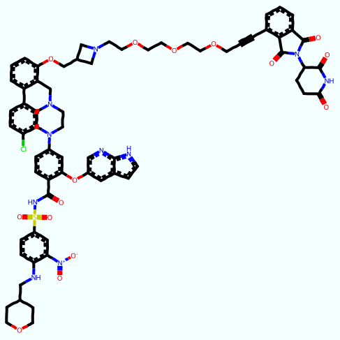 O=C1CCC(N2C(=O)c3cccc(C#CCOCCOCCOCCN4CC(COc5cccc(-c6ccc(Cl)cc6)c5CN5CCN(c6ccc(C(=O)NS(=O)(=O)c7ccc(NCC8CCOCC8)c([N+](=O)[O-])c7)c(Oc7cnc8[nH]ccc8c7)c6)CC5)C4)c3C2=O)C(=O)N1